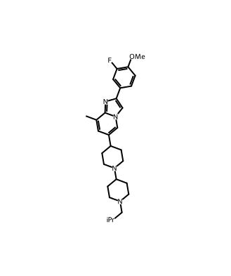 COc1ccc(-c2cn3cc(C4CCN(C5CCN(CC(C)C)CC5)CC4)cc(C)c3n2)cc1F